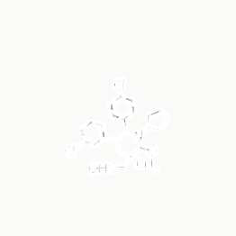 C[C@@]1(CC=O)C[C@H](c2cccc(Cl)c2)[C@@H](c2ccc(Cl)cc2)N(C2C=CCC2)C1=O